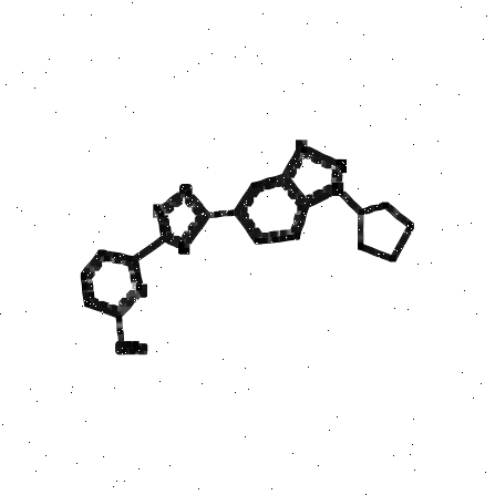 COc1cccc(-c2noc(-c3ccc4c(c3)nnn4C3CCCC3)n2)n1